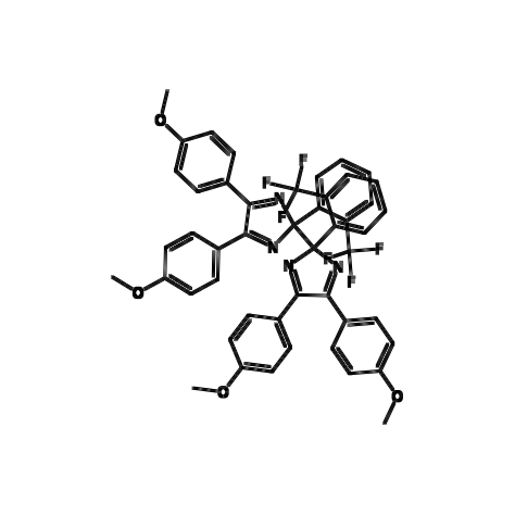 COc1ccc(C2=NC(c3ccccc3C(F)(F)F)(C3(c4ccccc4C(F)(F)F)N=C(c4ccc(OC)cc4)C(c4ccc(OC)cc4)=N3)N=C2c2ccc(OC)cc2)cc1